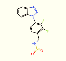 O=[SH](=O)NCc1ccc(-n2nnc3ccccc32)c(F)c1F